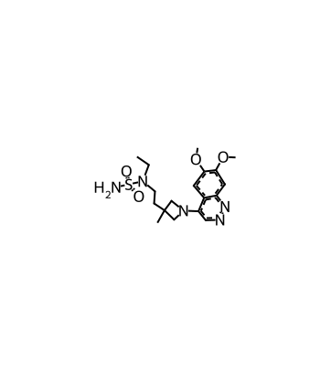 CCN(CCC1(C)CN(c2cnnc3cc(OC)c(OC)cc23)C1)S(N)(=O)=O